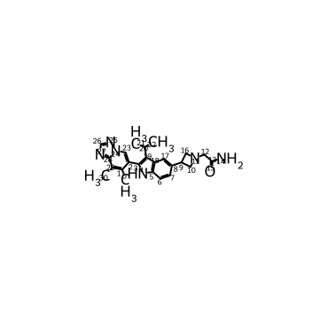 Cc1c(-c2[nH]c3ccc(C4CN(CC(N)=O)C4)cc3c2C(C)C)cn2ncnc2c1C